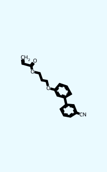 C=CC(=O)OCCCOc1cccc(-c2cccc(C#N)c2)c1